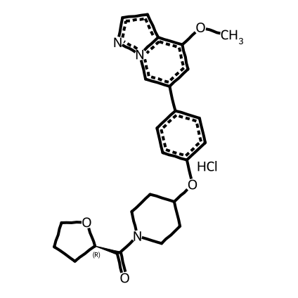 COc1cc(-c2ccc(OC3CCN(C(=O)[C@H]4CCCO4)CC3)cc2)cn2nccc12.Cl